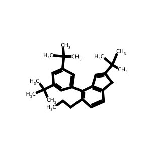 CCCc1ccc2c(c1-c1cc(C(C)(C)C)cc(C(C)(C)C)c1)C=C(C(C)(C)C)[CH]2